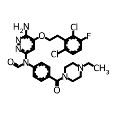 CCN1CCN(C(=O)c2ccc(N(C=O)c3cc(OCCc4c(Cl)ccc(F)c4Cl)c(N)nn3)cc2)CC1